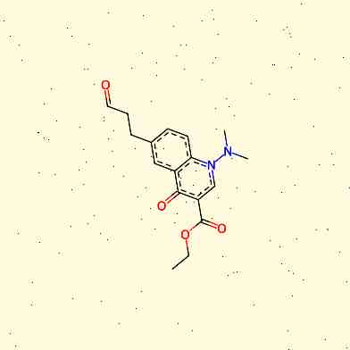 CCOC(=O)c1cn(N(C)C)c2ccc(CCC=O)cc2c1=O